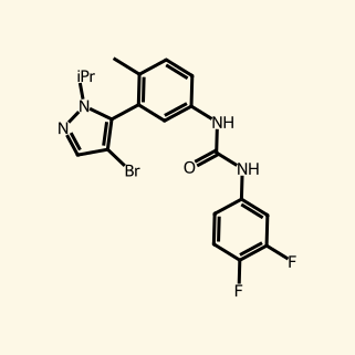 Cc1ccc(NC(=O)Nc2ccc(F)c(F)c2)cc1-c1c(Br)cnn1C(C)C